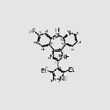 CCc1n[nH]c(CC)c1-c1nc2c([nH]1)-c1cccnc1Nc1cc(F)ccc1-2